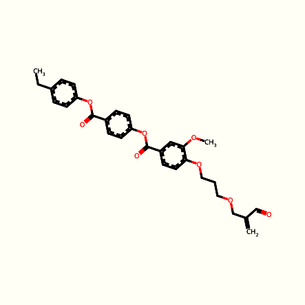 C=C(C=O)COCCCOc1ccc(C(=O)Oc2ccc(C(=O)Oc3ccc(CC)cc3)cc2)cc1OC